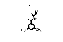 C=CC(=O)NCc1cc(C)cc(C)c1